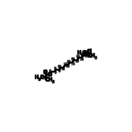 C=C(C)C(=O)OCCCCCCCCCCCCCCCC[Si](C)(C)Cl